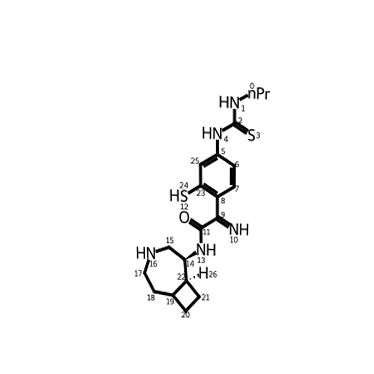 CCCNC(=S)Nc1ccc(C(=N)C(=O)N[C@@H]2CNCCC3CC[C@@H]32)c(S)c1